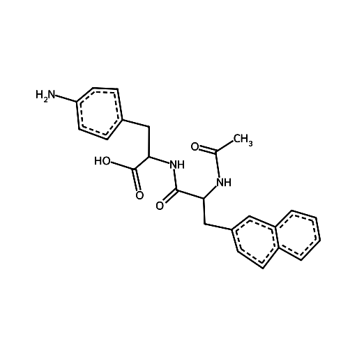 CC(=O)NC(Cc1ccc2ccccc2c1)C(=O)NC(Cc1ccc(N)cc1)C(=O)O